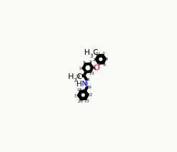 Cc1cccc(O[C@@H]2CCCC(C(C)CNCc3ccccc3)C2)c1